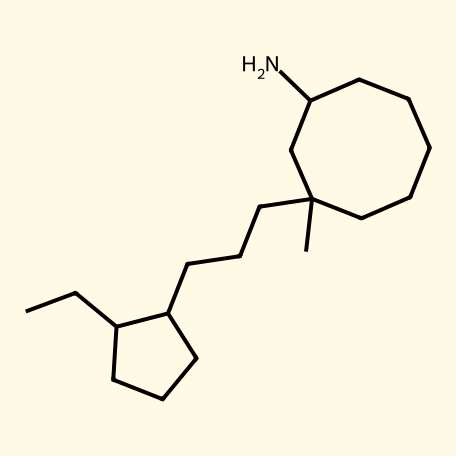 CCC1CCCC1CCCC1(C)CCCCCC(N)C1